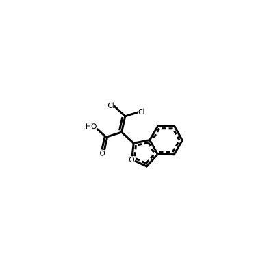 O=C(O)C(=C(Cl)Cl)c1occ2ccccc12